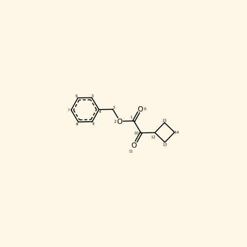 O=C(OCc1ccccc1)C(=O)C1CCC1